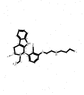 FCCCNCCOc1cccc([C@@H]2c3[nH]c4ccccc4c3C[C@@H](I)N2CC(F)(F)F)c1F